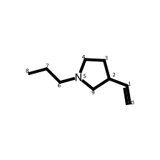 C=CC1CCN(CCC)C1